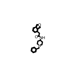 O=C(Cc1cccc2cocc12)NC1CCN(Cc2ccccc2)CC1